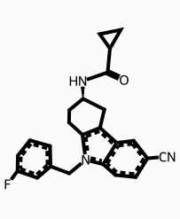 N#Cc1ccc2c(c1)c1c(n2Cc2cccc(F)c2)CC[C@@H](NC(=O)C2CC2)C1